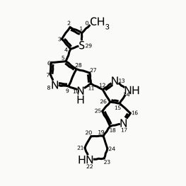 Cc1ccc(-c2ccnc3[nH]c(-c4n[nH]c5cnc(C6CCNCC6)cc45)cc23)s1